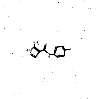 Nc1[nH]ncc1C(=O)Nc1ccc(F)cc1